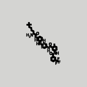 Cc1ccc(NC(=O)c2cccc(C(F)(F)F)c2)cc1C(=O)NC1=CNC(Nc2cccc(NC(=O)[C@@H](N)CCCCC(C)(C)C)c2)N=C1